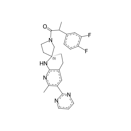 Cc1nc2c(cc1-c1ncccn1)CC[C@@]1(CCN(C(=O)C(C)c3ccc(F)c(F)c3)C1)N2